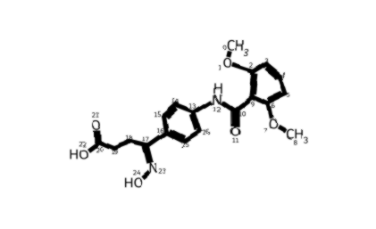 COc1cccc(OC)c1C(=O)Nc1ccc(C(CCC(=O)O)=NO)cc1